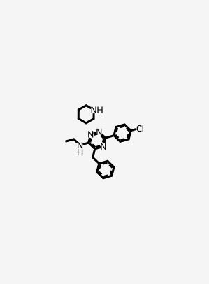 C1CCNCC1.CCNc1nnc(-c2ccc(Cl)cc2)nc1Cc1ccccc1